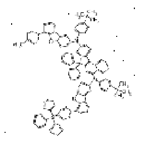 Cc1ccc(-c2cccc3c2oc2ccc(N(c4ccc(C(C)(C)C)cc4)c4ccc5c(c4)C(c4ccccc4)(c4ccccc4)c4cc(N(c6ccc(C(C)(C)C)cc6)c6ccc7oc8c(-c9ccc([Si](c%10ccccc%10)(c%10ccccc%10)c%10ccccc%10)cc9)cccc8c7c6)c6ccccc6c4-5)cc23)cc1